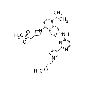 COCCn1cc(-c2nccc(Nc3cc4c(C(C)C)ccc(N5CC(CS(C)(=O)=O)C5)c4cn3)n2)cn1